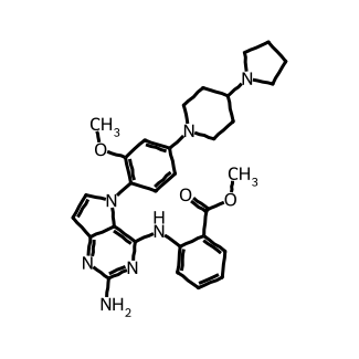 COC(=O)c1ccccc1Nc1nc(N)nc2ccn(-c3ccc(N4CCC(N5CCCC5)CC4)cc3OC)c12